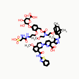 COCCN(CCOC12CC3(C)CC(C)(CC(Cn4ncc(-c5ccc(N6CCc7c(OC)ccc(C(=O)Nc8nc9ccccc9s8)c7C6)nc5C(=O)O)c4C)(C3)C1)C2)C(=O)OCc1ccc(O[C@@H]2O[C@H](C(=O)O)[C@@H](O)[C@H](O)[C@H]2O)cc1OCCCNC(=O)C(N)CS(=O)(=O)O